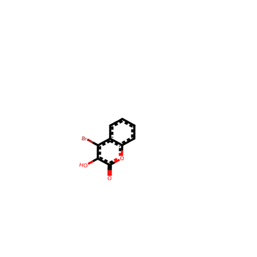 O=c1oc2ccccc2c(Br)c1O